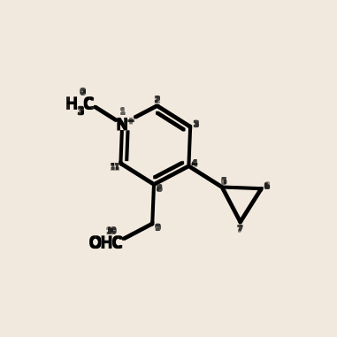 C[n+]1ccc(C2CC2)c(CC=O)c1